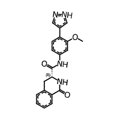 COc1cc(NC(=O)[C@H]2Cc3ccccc3C(=O)N2)ccc1-c1cn[nH]c1